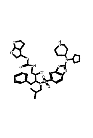 CC(C)CN(C(Cc1ccccc1)C(O)CNC(=O)OC1COC2OCCC12)S(=O)(=O)c1ccc2nc(N(C3CCCC3)C3CCNCC3)sc2c1